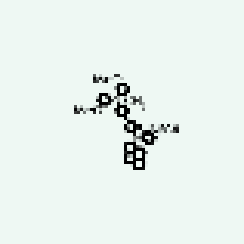 COc1cccc(N(c2cccc(OC)c2)c2ccc(-c3ccc(N(c4cccc(OC)c4)c4ccc5ccc6cccc7ccc4c5c67)c(C)c3)cc2C)c1